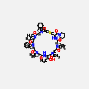 CC(C)C[C@H]1C(=O)N[C@H](C(=O)N2CCCCC2)CSCC(=O)N(C)[C@@H](Cc2ccccc2)C(=O)N(C)[C@@H](C)C(=O)N(C)[C@@H](Cc2ccccc2)C(=O)N(C)[C@@H](CC(C)C)C(=O)N[C@@H]([C@@H](C)O)C(=O)N(C)CC(=O)N1C